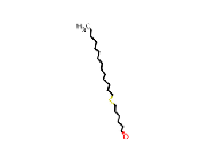 CCCCCCCCCCCCCCSCCCCC[C]=O